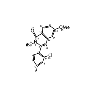 CCC(C)n1c(-c2ccc(C)cc2Cl)nc2cc(OC)ccc2c1=O